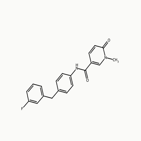 Cn1cc(C(=O)Nc2ccc(Cc3cccc(F)c3)cc2)ccc1=O